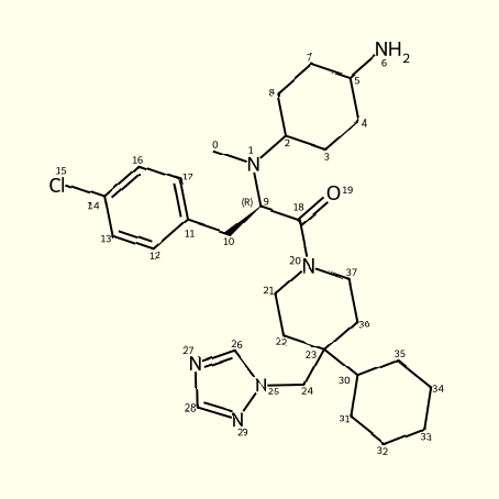 CN(C1CCC(N)CC1)[C@H](Cc1ccc(Cl)cc1)C(=O)N1CCC(Cn2cncn2)(C2CCCCC2)CC1